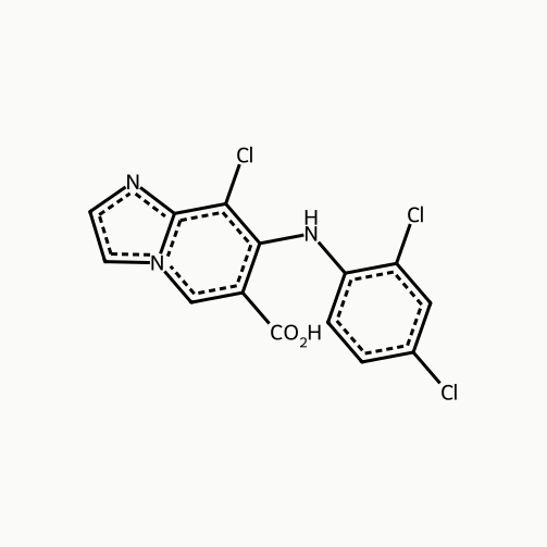 O=C(O)c1cn2ccnc2c(Cl)c1Nc1ccc(Cl)cc1Cl